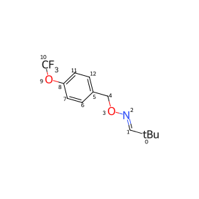 CC(C)(C)C=NOCc1ccc(OC(F)(F)F)cc1